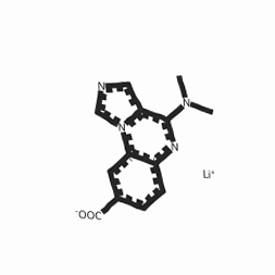 CN(C)c1nc2ccc(C(=O)[O-])cc2n2cncc12.[Li+]